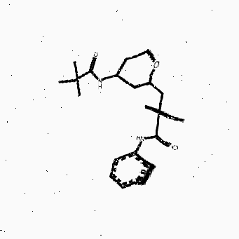 CC(C)(C)C(=O)NC1CCOC(CC(C)(C)C(=O)Nc2ccccc2)C1